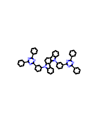 c1ccc(-c2nc(-c3ccccc3)nc(-c3cccc(-n4c5ccccc5c5c4ccc4c6ccccc6n(-c6cccc(-c7nc(-c8ccccc8)nc(-c8ccccc8)n7)c6)c45)c3)n2)cc1